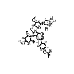 COc1cc(N2C[C@@H]3C[C@H]2CN3C)nc(N2C(=O)[C@@H](NC(=O)c3ccc(OC(F)F)cc3)[C@H](c3c(F)cc(OC)cc3F)[C@H]2C)c1